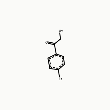 CCc1ccc(C(=O)CC(C)C)cc1